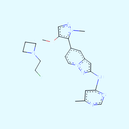 Cc1cc(Nc2cc3cc(-c4c(OC[C@H]5CCN5CCF)cnn4C)ccn3n2)ncn1